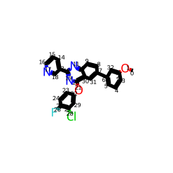 COc1cccc(-c2ccc3nc(-c4cccnc4)nc(Oc4ccc(F)c(Cl)c4)c3c2)c1